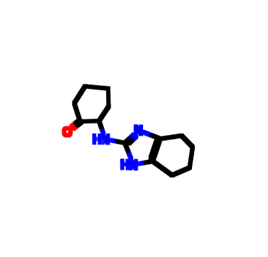 O=C1CCCCC1Nc1nc2c([nH]1)CCCC2